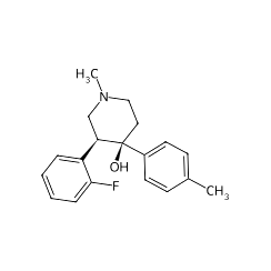 Cc1ccc([C@@]2(O)CCN(C)C[C@@H]2c2ccccc2F)cc1